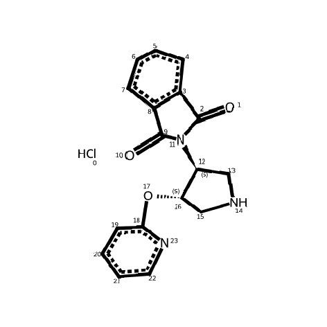 Cl.O=C1c2ccccc2C(=O)N1[C@H]1CNC[C@@H]1Oc1ccccn1